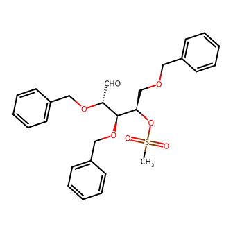 CS(=O)(=O)O[C@H](COCc1ccccc1)[C@@H](OCc1ccccc1)[C@@H](C=O)OCc1ccccc1